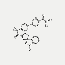 CCN(CC)C(=O)c1ccc(-c2ccc(C3(C(=O)N4CCC5(C4)OC(=O)c4ccccc45)CC3)cc2)cn1